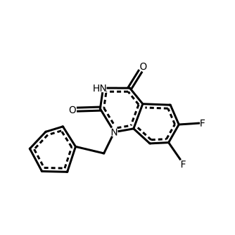 O=c1[nH]c(=O)n(Cc2ccccc2)c2cc(F)c(F)cc12